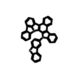 c1ccc2c(c1)sc1ccc(-n3c4ccccc4c4c5ccccc5c5c6cccc7c8ccccc8n(c76)c5c43)cc12